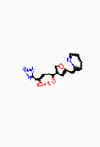 O=C(C=C(O)c1nn[nH]n1)c1coc(Cc2ccccn2)c1